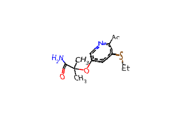 CCSc1cc(OC(C)(C)C(N)=O)cnc1C(C)=O